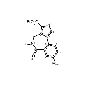 CCOC(=O)c1ncn2c1CN(C)C(=O)c1cc([18F])ccc1-2